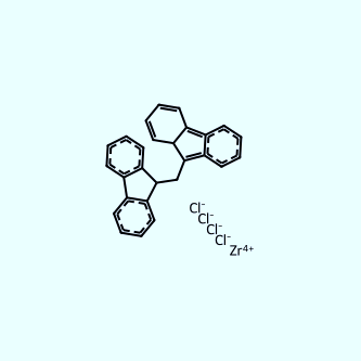 C1=CC2=c3ccccc3=C(CC3c4ccccc4-c4ccccc43)C2C=C1.[Cl-].[Cl-].[Cl-].[Cl-].[Zr+4]